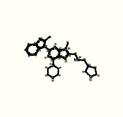 Cc1nc2ccccc2n1-c1nc(N2CCOCC2)c2nc(CNCC3CCOC3)n(C)c2n1